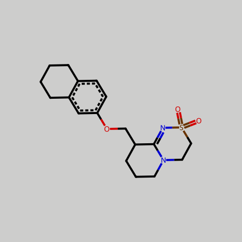 O=S1(=O)CCN2CCCC(COc3ccc4c(c3)CCCC4)C2=N1